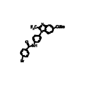 COc1ccc2c(c1)nc(C(F)(F)F)n2-c1ccc(NC(=O)c2ccc(Br)cc2)cc1